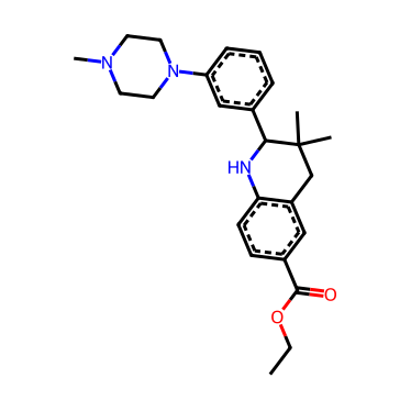 CCOC(=O)c1ccc2c(c1)CC(C)(C)C(c1cccc(N3CCN(C)CC3)c1)N2